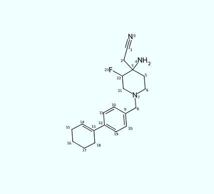 N#CCC1(N)CCN(Cc2ccc(C3=CCCCC3)cc2)CC1F